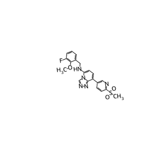 COc1c(F)cccc1CNc1ccc(-c2ccc(S(C)(=O)=O)nc2)c2nncn12